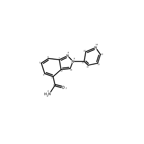 NC(=O)c1cccc2nn(-c3cccnc3)cc12